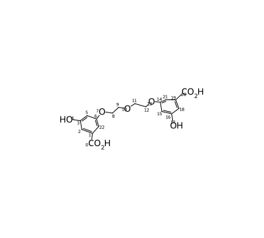 O=C(O)c1cc(O)cc(OCCOCCOc2cc(O)cc(C(=O)O)c2)c1